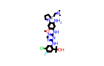 COc1cc(N2CCC[C@@H]2CCN(C)C)c(N)cc1Nc1ncnc(Nc2cc(Cl)c(F)cc2C(C)(C)O)n1